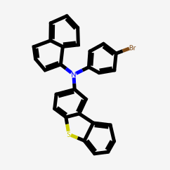 Brc1ccc(N(c2ccc3sc4ccccc4c3c2)c2cccc3ccccc23)cc1